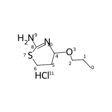 CCCOC1CCSC(N)=N1.Cl